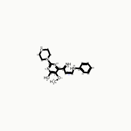 COc1c(O)nc(N2CCOCC2)nc1C(=N)/C=C\Nc1ccccc1